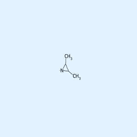 CC1[N]C1C